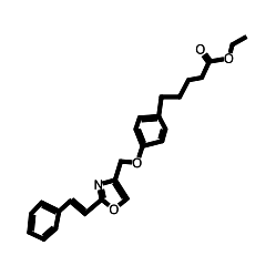 CCOC(=O)CCCCc1ccc(OCc2coc(C=Cc3ccccc3)n2)cc1